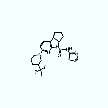 O=C(Nc1nccs1)N1c2nc(N3CCCC(C(F)(F)F)C3)ccc2C2CCCC21